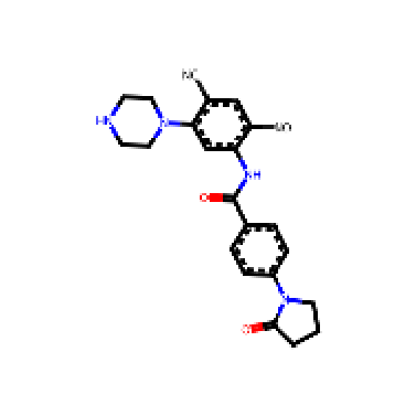 N#Cc1cc(N=O)c(NC(=O)c2ccc(N3CCCC3=O)cc2)cc1N1CCNCC1